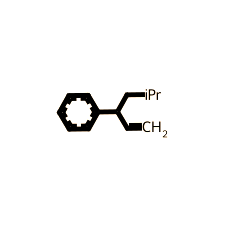 C=CC(CC(C)C)c1ccccc1